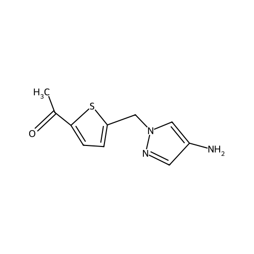 CC(=O)c1ccc(Cn2cc(N)cn2)s1